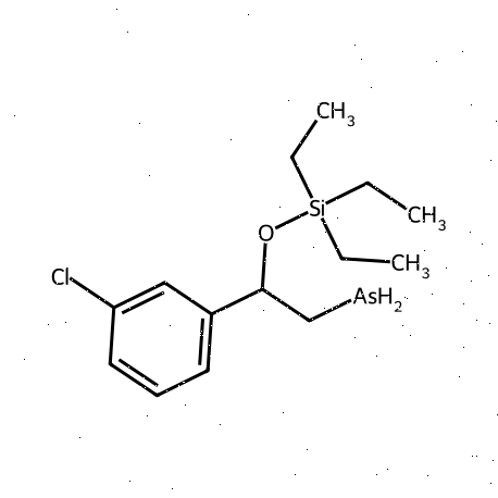 CC[Si](CC)(CC)OC(C[AsH2])c1cccc(Cl)c1